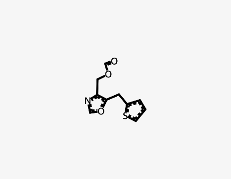 O=COCc1ncoc1Cc1cccs1